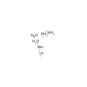 O.O.O.[La].[Mn].[SrH2]